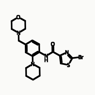 O=C(Nc1ccc(CN2CCOCC2)cc1N1CCCCC1)c1csc(Br)n1